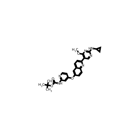 COc1nc(NC2CC2)ncc1-c1ccc2cc(Oc3ccnc(NC(=O)OC(C)(C)C)c3)ccc2n1